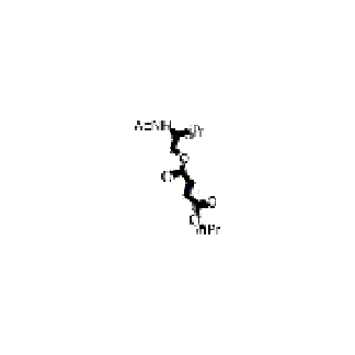 CC(=O)NC(COC(=O)/C=C/C(=O)OC(C)C)C(C)C